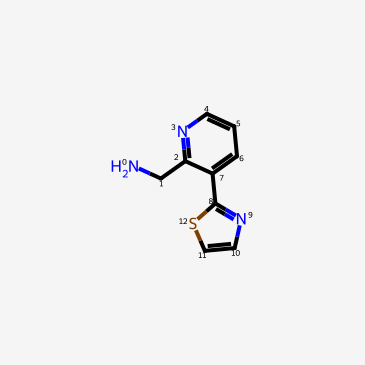 NCc1ncccc1-c1nccs1